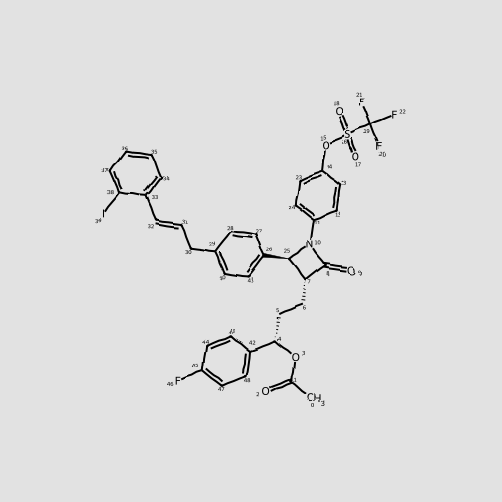 CC(=O)O[C@@H](CC[C@H]1C(=O)N(c2ccc(OS(=O)(=O)C(F)(F)F)cc2)[C@@H]1c1ccc(C/C=C/c2ccccc2I)cc1)c1ccc(F)cc1